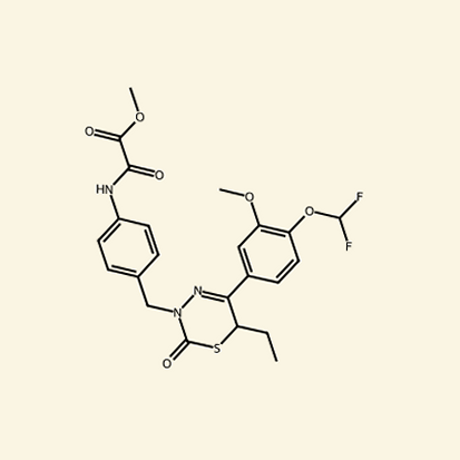 CCC1SC(=O)N(Cc2ccc(NC(=O)C(=O)OC)cc2)N=C1c1ccc(OC(F)F)c(OC)c1